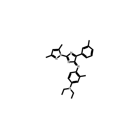 CCN(CC)c1ccc(N=C2N=C(n3nc(C)cc3C)N=C2c2cccc(C)c2)c(C)c1